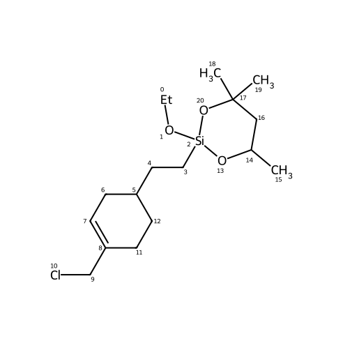 CCO[Si]1(CCC2CC=C(CCl)CC2)OC(C)CC(C)(C)O1